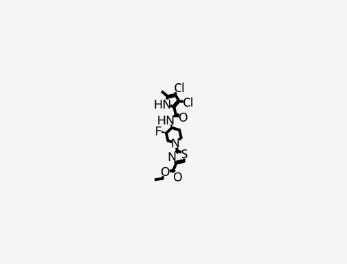 CCOC(=O)c1csc(N2CC[C@H](NC(=O)c3[nH]c(C)c(Cl)c3Cl)[C@H](F)C2)n1